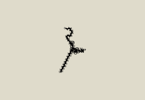 CC/C=C\C/C=C\C/C=C\C/C=C\CCCCC(=O)OC[C@H](COP(=O)([O-])OCC[N+](C)(C)C)OC(=O)CCCCCCCCCCCCCCCCC